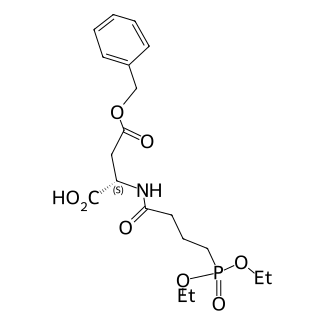 CCOP(=O)(CCCC(=O)N[C@@H](CC(=O)OCc1ccccc1)C(=O)O)OCC